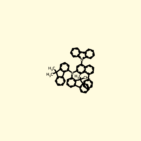 CC1(C)c2ccccc2-c2c(N(c3cc(-n4c5ccccc5c5ccccc54)c4cccc(-c5ccccc5)c4c3)c3cccc4c3C(C)(C)c3ccccc3-4)cccc21